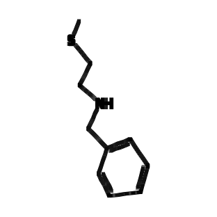 CSCCNCc1ccccc1